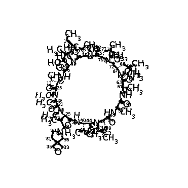 C/C=C/C[C@@H](C)[C@@H](O)[C@H]1C(=O)N[C@@H](CC)C(=O)N(C)[C@H](C)C(=O)N(C)[C@@H]([C@H](C)CN2CCC3(COC3)C2)C(=O)N[C@@H](C(C)C)C(=O)N(C)[C@@H](CC(C)C)C(=O)N[C@@H](C)C(=O)N[C@H](C)C(=O)N(C)[C@@H](CC(C)C)C(=O)N(C)[C@@H](CC(C)C)C(=O)N(C)[C@@H](C(C)C)C(=O)N1C